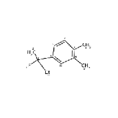 CCC(C)(F)c1ccc(C)c(C)c1